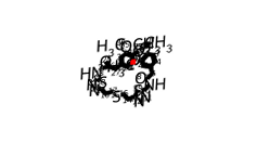 COc1ccc(CC(=O)Nc2nnc(CCSCCc3nnc(NC4OC4Cc4ccc(OC)c(OC)c4)s3)s2)cc1OC